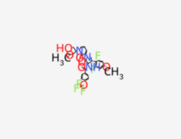 COCC(CO)n1cccc(N2C[C@@H](c3c(F)cc(OC)cc3F)[C@H](NC(=O)c3ccc(OC(F)(F)F)cc3)C2=O)c1=O